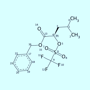 CC(C)C[C@@H](OS(=O)(=O)C(F)(F)F)C(=O)OCc1ccccc1